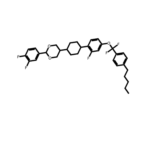 CCCCCc1ccc(C(F)(F)Oc2ccc(C3CCC(C4COC(c5ccc(F)c(F)c5)OC4)CC3)c(F)c2)cc1